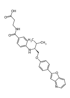 CC(C)[C@@H](COc1ccc(-c2cc3ncccc3o2)cc1)Nc1ccc(C(=O)NCCC(=O)O)cc1